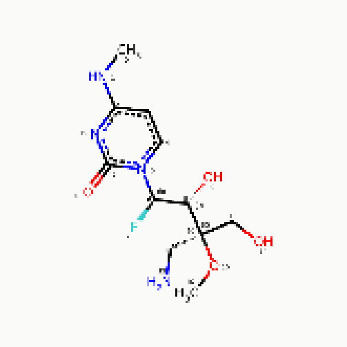 CNc1ccn([C@H](F)[C@H](O)[C@@](CN)(CO)OC)c(=O)n1